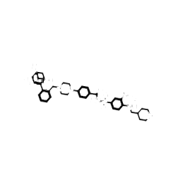 CC1(C)[C@H]2CC=C(c3ccccc3CN3CCN(c4ccc(C(=O)NS(=O)(=O)c5ccc(NCC6CCOCC6)c([N+](=O)[O-])c5)cc4)CC3)[C@@H]1C2